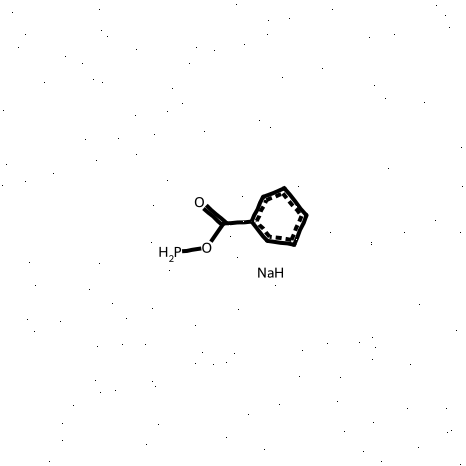 O=C(OP)c1ccccc1.[NaH]